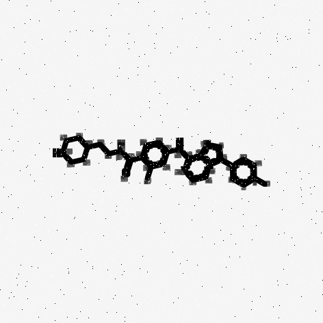 Cc1ccc(-c2cnc3c(Nc4ccc(C(=O)NCCC5CCNCC5)c(C)c4)nccn23)cc1